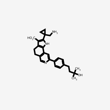 CC(C)(O)CCc1ccc(-c2cc3c(cn2)CCc2c-3[nH]c(C3(CN)CC3)c2C(=O)O)cc1